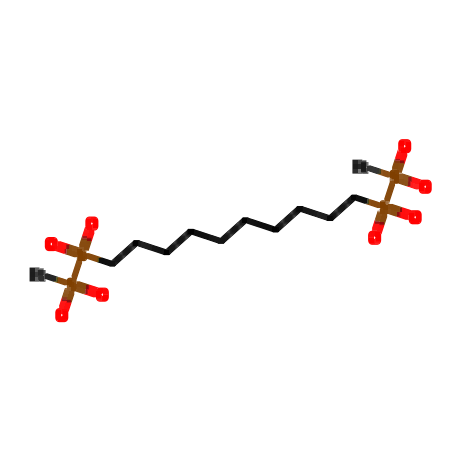 CCS(=O)(=O)S(=O)(=O)CCCCCCCCCCS(=O)(=O)S(=O)(=O)CC